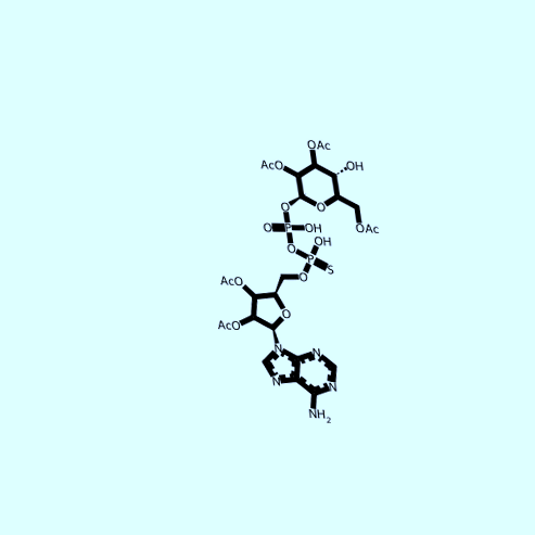 CC(=O)OCC1O[C@@H](OP(=O)(O)OP(O)(=S)OC[C@H]2O[C@@H](n3cnc4c(N)ncnc43)C(OC(C)=O)C2OC(C)=O)C(OC(C)=O)C(OC(C)=O)[C@@H]1O